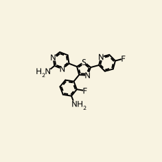 Nc1nccc(-c2sc(-c3ccc(F)cn3)nc2-c2cccc(N)c2F)n1